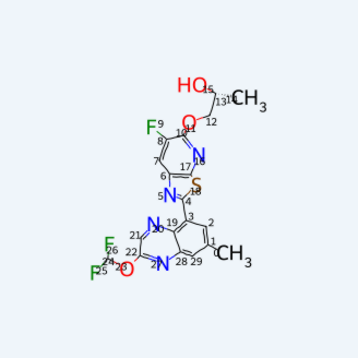 Cc1cc(-c2nc3cc(F)c(OC[C@@H](C)O)nc3s2)c2ncc(OC(F)F)nc2c1